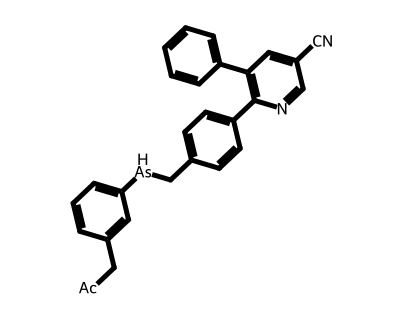 CC(=O)Cc1cccc([AsH]Cc2ccc(-c3ncc(C#N)cc3-c3ccccc3)cc2)c1